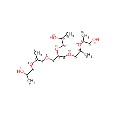 CC(O)COC(C)COCC(COCC(C)OC(C)CO)OCC(C)O